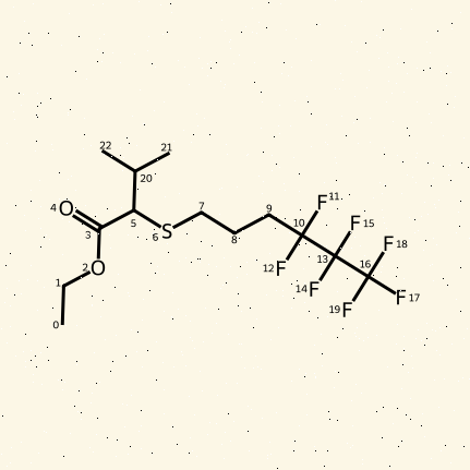 CCOC(=O)C(SCCCC(F)(F)C(F)(F)C(F)(F)F)C(C)C